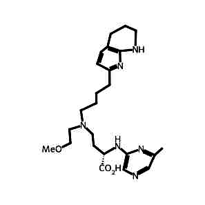 COCCN(CCCCc1ccc2c(n1)NCCC2)CC[C@H](Nc1cncc(C)n1)C(=O)O